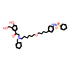 O=C(CN(CCCCCCOCCCCc1ccc(NS(=O)(=O)c2ccccc2)cc1)Cc1ccccc1)c1ccc(O)c(CO)c1